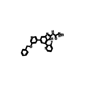 CCNC(=O)Nc1nc2cc(-c3cncc(OCc4ccccc4)c3)cc(-c3ncccc3F)c2[nH]1